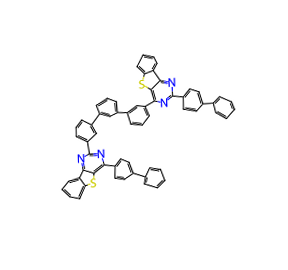 c1ccc(-c2ccc(-c3nc(-c4cccc(-c5cccc(-c6cccc(-c7nc(-c8ccc(-c9ccccc9)cc8)c8sc9ccccc9c8n7)c6)c5)c4)c4sc5ccccc5c4n3)cc2)cc1